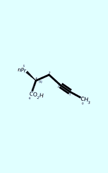 CC#CC[C@H](CCC)C(=O)O